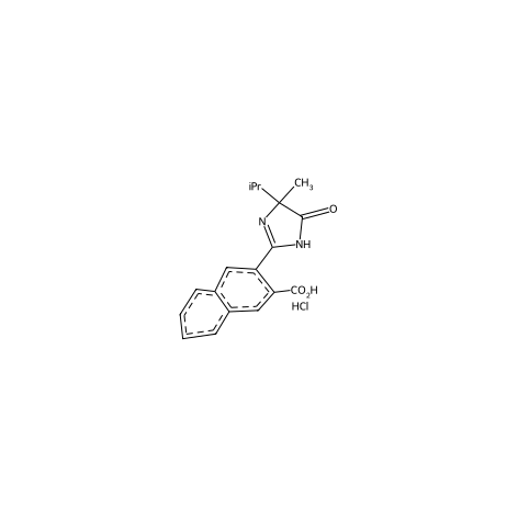 CC(C)C1(C)N=C(c2cc3ccccc3cc2C(=O)O)NC1=O.Cl